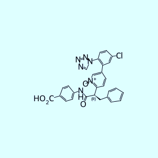 O=C(O)c1ccc(NC(=O)[C@H](Cc2ccccc2)c2ccc(-c3cc(Cl)ccc3-n3cnnn3)c[n+]2[O-])cc1